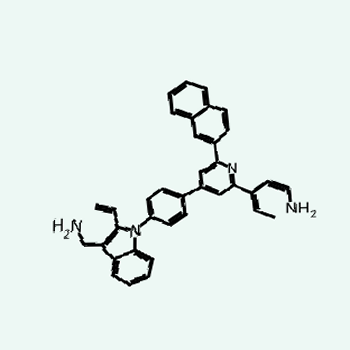 C=Cc1c(CN)c2ccccc2n1-c1ccc(-c2cc(C(/C=C\N)=C/C)nc(-c3ccc4ccccc4c3)c2)cc1